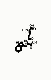 N[C@@H](CCC(=O)N[C@H](Cc1c[nH]c2ccccc12)C(=O)O)C(=O)O